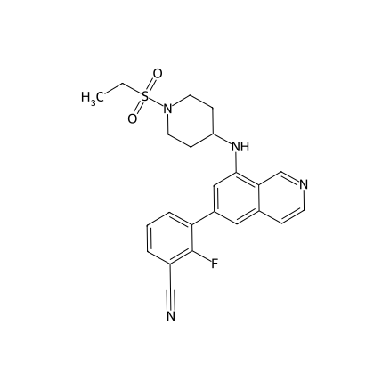 CCS(=O)(=O)N1CCC(Nc2cc(-c3cccc(C#N)c3F)cc3ccncc23)CC1